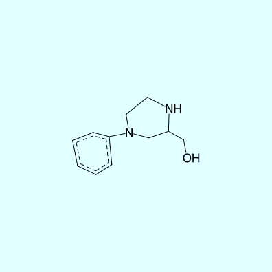 OCC1CN(c2ccccc2)CCN1